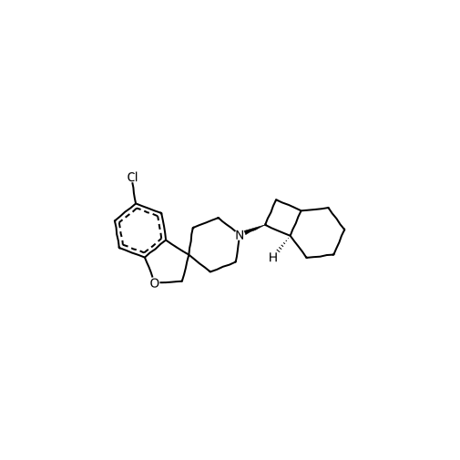 Clc1ccc2c(c1)C1(CCN([C@H]3CC4CCCC[C@H]43)CC1)CO2